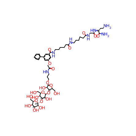 NCC[C@H](NC(=O)CNC(=O)CCCCCNC(=O)CCCCCNC(=O)c1cc(OCC(=O)NCCCO[C@@H]2OC(CO)[C@@H](OC3OC(CO)C(O)[C@H](O[C@H]4OC(CO)C(O)[C@@H](O)C4O)[C@@H]3O)C2O)cc(-c2ccccc2)c1)C(N)=O